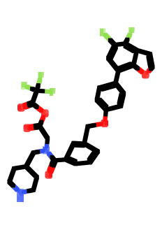 O=C(CN(CC1CCNCC1)C(=O)c1cccc(COc2ccc(-c3cc(F)c(F)c4ccoc34)cc2)c1)OC(=O)C(F)(F)F